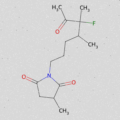 CC(=O)C(C)(F)C(C)CCCN1C(=O)CC(C)C1=O